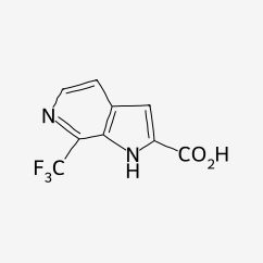 O=C(O)c1cc2ccnc(C(F)(F)F)c2[nH]1